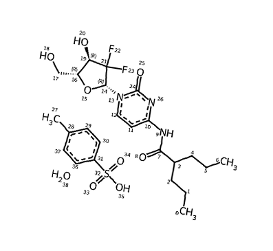 CCCC(CCC)C(=O)Nc1ccn([C@@H]2O[C@H](CO)[C@@H](O)C2(F)F)c(=O)n1.Cc1ccc(S(=O)(=O)O)cc1.O